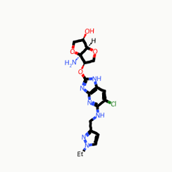 CCn1ccc(CNc2nc3nc(O[C@@H]4CO[C@@H]5[C@H](O)CO[C@@]54N)[nH]c3cc2Cl)n1